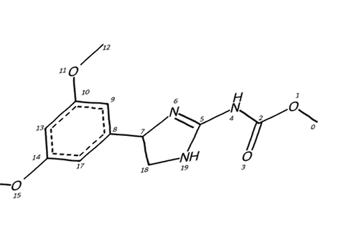 COC(=O)NC1=NC(c2cc(OC)cc(OC)c2)CN1